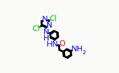 Nc1cccc(CC(=O)Nc2cccc(Nc3nc(Cl)ncc3Cl)c2)c1